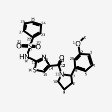 COc1cccc(C2CCCN2C(=O)c2csc(NS(=O)(=O)c3ccccc3)n2)c1